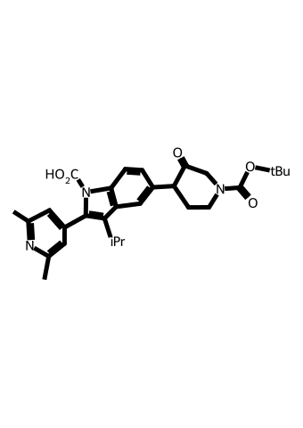 Cc1cc(-c2c(C(C)C)c3cc(C4CCN(C(=O)OC(C)(C)C)CC4=O)ccc3n2C(=O)O)cc(C)n1